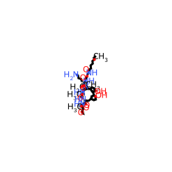 C=C([C@H](CCCCN)NC(=O)CCNC(=O)CCCCCCC)N(C)[C@@H]1C(=O)N[C@@H](C)C(=O)N[C@H](C(=O)N[C@@H](C)C(=O)C2CO2)Cc2ccc(O)c(c2)-c2cc1ccc2O